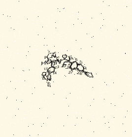 O=C(NC(CN1CCCC1)C(O)c1ccc2c(c1)OCCO2)C(F)(F)c1ccc2cc(Cl)ccc2c1